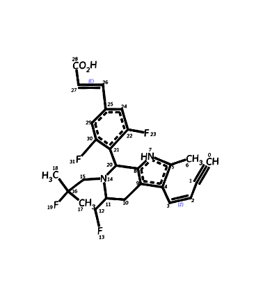 C#C/C=C\c1c(C)[nH]c2c1CC(CF)N(CC(C)(C)F)C2c1c(F)cc(/C=C/C(=O)O)cc1F